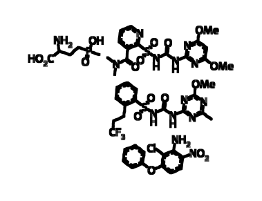 COc1cc(OC)nc(NC(=O)NS(=O)(=O)c2ncccc2C(=O)N(C)C)n1.COc1nc(C)nc(NC(=O)NS(=O)(=O)c2ccccc2CCC(F)(F)F)n1.CP(=O)(O)CCC(N)C(=O)O.Nc1c([N+](=O)[O-])ccc(Oc2ccccc2)c1Cl